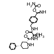 CC(NC(=O)[C@H]1C[C@@H](c2ccccc2)CCN1)C(=O)NCc1ccc(C(=N)OC(N)=O)cc1.Cl